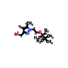 Cc1c(I)c(CBr)nn1CCO[Si](C)(C)C(C)(C)C